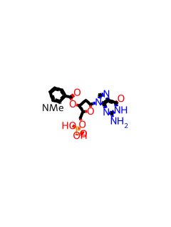 CNc1ccccc1C(=O)OC1CC(n2cnc3c(=O)[nH]c(N)nc32)OC1COP(=O)(O)O